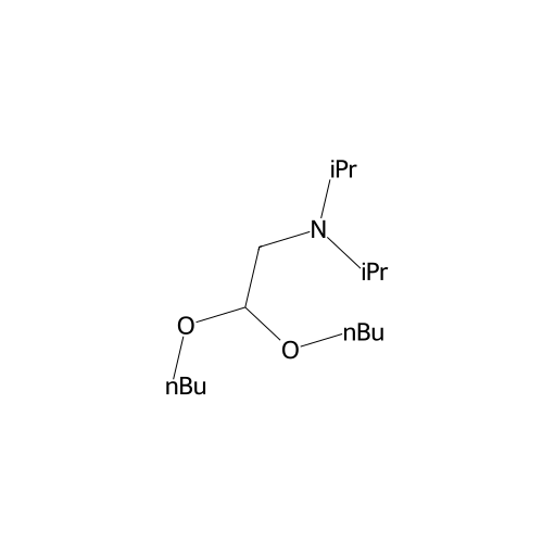 CCCCOC(CN(C(C)C)C(C)C)OCCCC